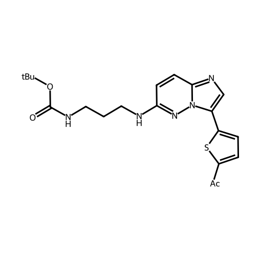 CC(=O)c1ccc(-c2cnc3ccc(NCCCNC(=O)OC(C)(C)C)nn23)s1